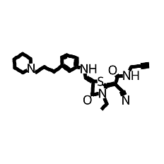 C#CCNC(=O)C(C#N)=c1sc(=CNc2cccc(CCCN3CCCCC3)c2)c(=O)n1CC